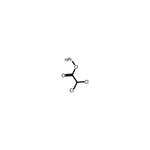 CCCOC(=O)C(Cl)Cl